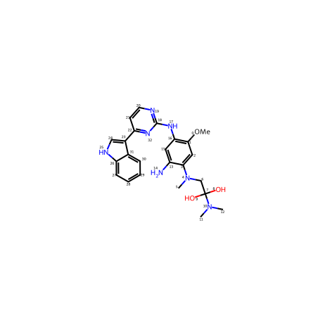 COc1cc(N(C)CC(O)(O)N(C)C)c(N)cc1Nc1nccc(-c2c[nH]c3ccccc23)n1